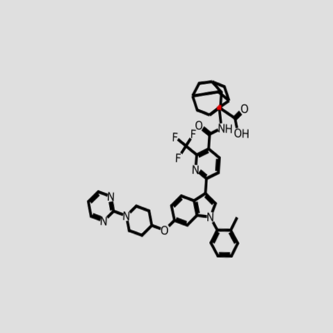 Cc1ccccc1-n1cc(-c2ccc(C(=O)NC3(C(=O)O)C4CCC5CC(C4)CC3C5)c(C(F)(F)F)n2)c2ccc(OC3CCN(c4ncccn4)CC3)cc21